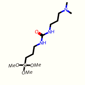 CO[Si](CCCNC(=O)NCCCN(C)C)(OC)OC